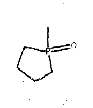 CP1(=O)CCCC1